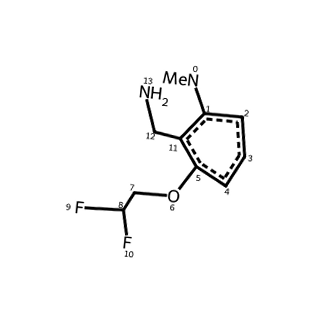 CNc1cccc(OCC(F)F)c1CN